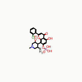 BC1CN(C)CC(O)C1c1c(OP(=O)(O)O)cc(O)c2c(=O)cc(-c3ccccc3Cl)oc12